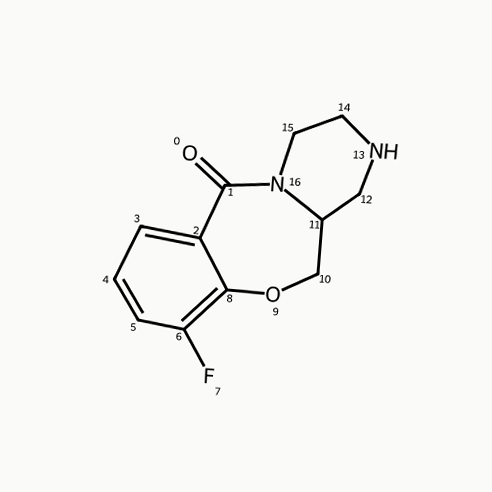 O=C1c2cccc(F)c2OCC2CNCCN12